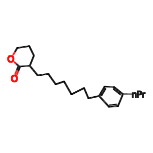 CCCc1ccc(CCCCCCCC2CCCOC2=O)cc1